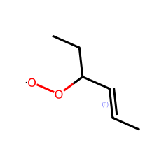 C/C=C/C(CC)O[O]